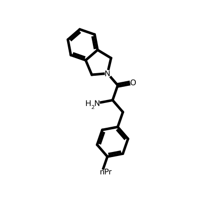 CCCc1ccc(CC(N)C(=O)N2Cc3ccccc3C2)cc1